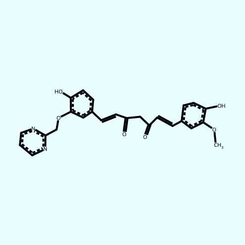 COc1cc(/C=C/C(=O)CC(=O)/C=C/c2ccc(O)c(OCc3ncccn3)c2)ccc1O